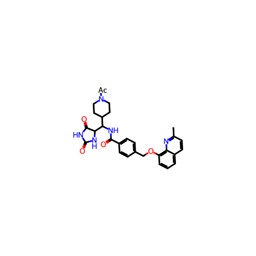 CC(=O)N1CCC(C(NC(=O)c2ccc(COc3cccc4ccc(C)nc34)cc2)C2NC(=O)NC2=O)CC1